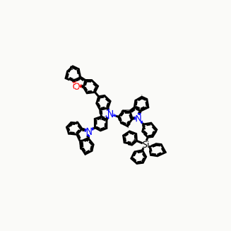 c1ccc([Si](c2ccccc2)(c2ccccc2)c2cccc(-n3c4ccccc4c4cc(-n5c6ccc(-c7ccc8c(c7)oc7ccccc78)cc6c6cc(-n7c8ccccc8c8ccccc87)ccc65)ccc43)c2)cc1